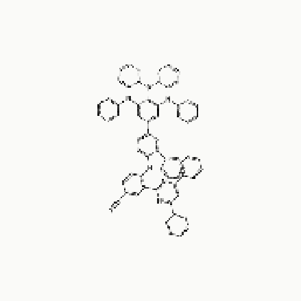 N#Cc1ccc(-n2c3ccccc3c3cc(-c4cc5c6c(c4)N(c4ccccc4)c4ccccc4B6c4ccccc4N5c4ccccc4)ccc32)c(-c2nc(-c3ccccc3)cc(-c3ccccc3)n2)c1